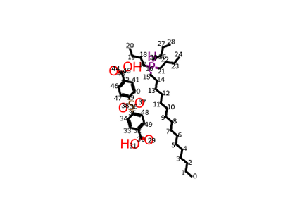 CCCCCCCCCCCCCCCC[PH](CCCC)(CCCC)CCCC.O=C(O)c1ccc(S(=O)(=O)c2ccc(C(=O)O)cc2)cc1